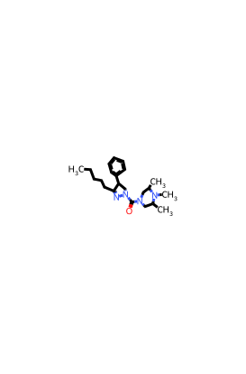 CCCCCC1=NN(C(=O)N2CC(C)N(C)C(C)C2)CC1c1ccccc1